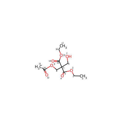 CCOC(=O)C(CO)(COC(C)=O)C(=O)OCC